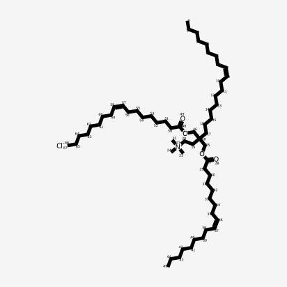 CCCCCCCC/C=C\CCCCCCCCC(CC[N+](C)(C)C)(COC(=O)CCCCCCC/C=C\CCCCCCCC)COC(=O)CCCCCCC/C=C\CCCCCCCC.[Cl-]